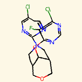 Fc1c(Cl)ncnc1OC1C2COCC1CN(c1ncc(Cl)cn1)C2